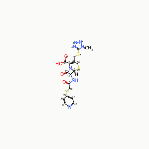 Cn1nnnc1SCC1=C(C(=O)O)N2C(=O)C(NC(=O)CSc3ccncc3)[C@H]2SC1